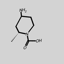 C[C@@H]1CC(N)CCN1C(=O)O